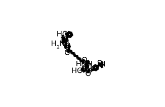 Cc1ncsc1-c1ccc(CNC(=O)[C@@H]2C[C@@H](O)CN2C(=O)[C@@H](NC(=O)CCCCCCCCC(=O)N2CCN(c3cc(-c4ccccc4O)nnc3N)CC2)C(C)(C)C)cc1